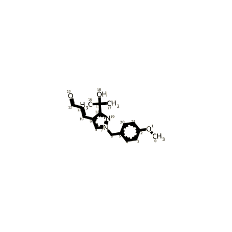 COc1ccc(Cn2cc(C=CC=O)c(C(C)(C)O)n2)cc1